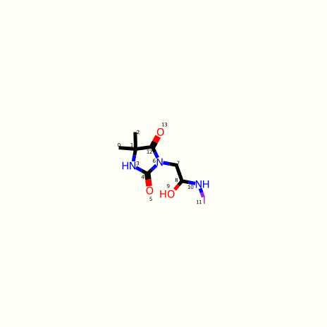 CC1(C)NC(=O)N(CC(O)NI)C1=O